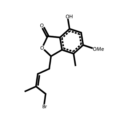 COc1cc(O)c2c(c1C)C(CC=C(C)CBr)OC2=O